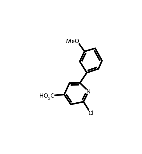 COc1cccc(-c2cc(C(=O)O)cc(Cl)n2)c1